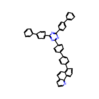 c1ccc(-c2ccc(-c3nc(-c4ccc(-c5ccccc5)cc4)nc(-c4ccc(-c5ccc(-c6cccc7c6ccc6cccnc67)cc5)cc4)n3)cc2)cc1